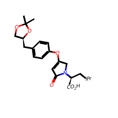 CC(C)C[C@@H](C(=O)O)N1CC(Oc2ccc(C[C@H]3COC(C)(C)O3)cc2)=CC1=O